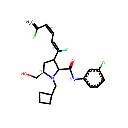 C=C(Cl)/C=C\C=C(/F)C1C[C@H](CO)N(CC2CCC2)C1C(=O)Nc1cccc(Cl)c1